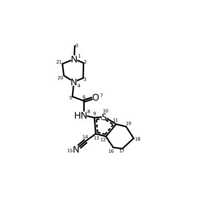 CN1CCN(CC(=O)Nc2sc3c(c2C#N)CCCC3)CC1